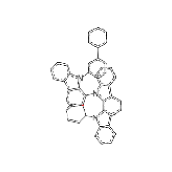 C1=CCC(n2c3ccccc3c3ccc4c5ccccc5n(-c5cccc6c7ccccc7n(-c7cccc(-c8ccccc8)c7)c56)c4c32)C=C1